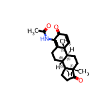 CC(=O)NC1=C2CC[C@@H]3[C@H](CC[C@]4(C)C(=O)CC[C@@H]34)[C@@]2(C)C=CC1=O